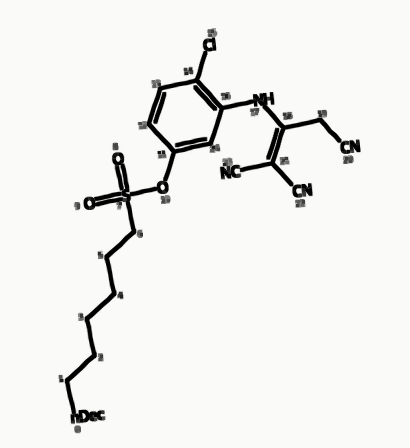 CCCCCCCCCCCCCCCCS(=O)(=O)Oc1ccc(Cl)c(NC(CC#N)=C(C#N)C#N)c1